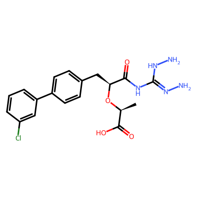 C[C@H](O[C@@H](Cc1ccc(-c2cccc(Cl)c2)cc1)C(=O)N/C(=N/N)NN)C(=O)O